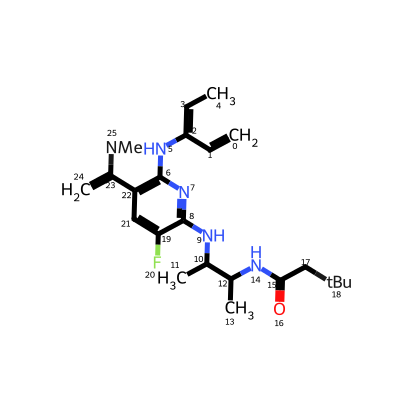 C=C/C(=C\C)Nc1nc(NC(C)C(C)NC(=O)CC(C)(C)C)c(F)cc1C(=C)NC